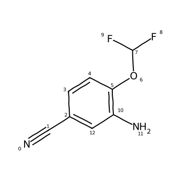 N#Cc1ccc(OC(F)F)c(N)c1